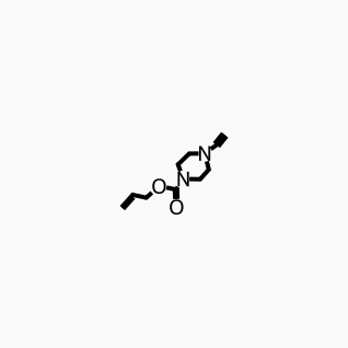 C#CN1CCN(C(=O)OCC=C)CC1